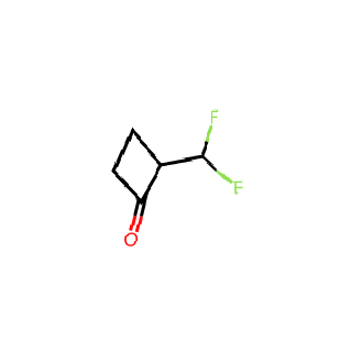 O=C1CCC1C(F)F